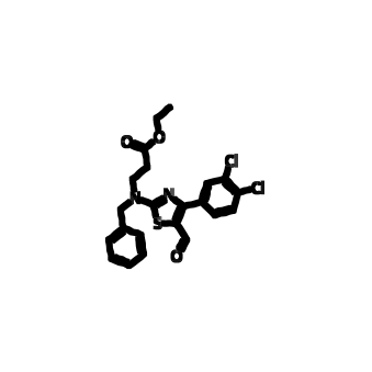 CCOC(=O)CCN(Cc1ccccc1)c1nc(-c2ccc(Cl)c(Cl)c2)c(C=O)s1